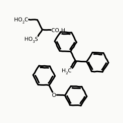 C=C(c1ccccc1)c1ccccc1.O=C(O)CC(C(=O)O)S(=O)(=O)O.c1ccc(Oc2ccccc2)cc1